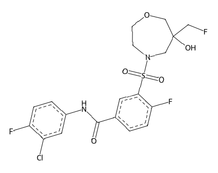 O=C(Nc1ccc(F)c(Cl)c1)c1ccc(F)c(S(=O)(=O)N2CCOCC(O)(CF)C2)c1